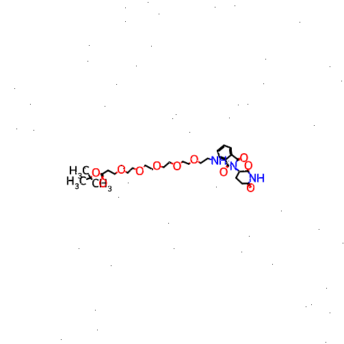 CC(C)(C)OC(=O)CCOCCOCCOCCOCCOCCNc1cccc2c1C(=O)N(C1CCC(=O)NC1=O)C2=O